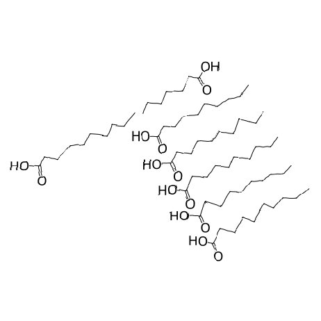 CCCCCCC(=O)O.CCCCCCCCCC(=O)O.CCCCCCCCCC(=O)O.CCCCCCCCCC(=O)O.CCCCCCCCCC(=O)O.CCCCCCCCCC(=O)O.CCCCCCCCCC(=O)O